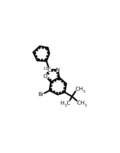 CC(C)(C)c1cc(Br)c2o[13c](-c3ccccc3)nc2c1